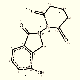 O=C1c2cccc(O)c2CN1N1C(=O)CCCC1=O